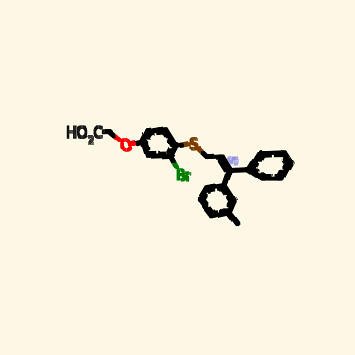 Cc1cccc(/C(=C\CSc2ccc(OCC(=O)O)cc2Br)c2ccccc2)c1